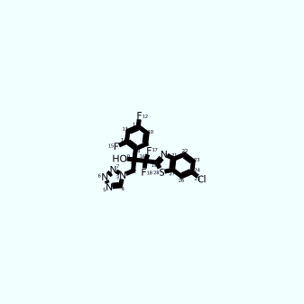 OC(Cn1cnnn1)(c1ccc(F)cc1F)C(F)(F)c1nc2ccc(Cl)cc2s1